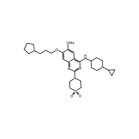 COc1cc2c(NC3CCN(C4CC4)CC3)nc(N3CCS(=O)(=O)CC3)nc2cc1OCCCN1CCCC1